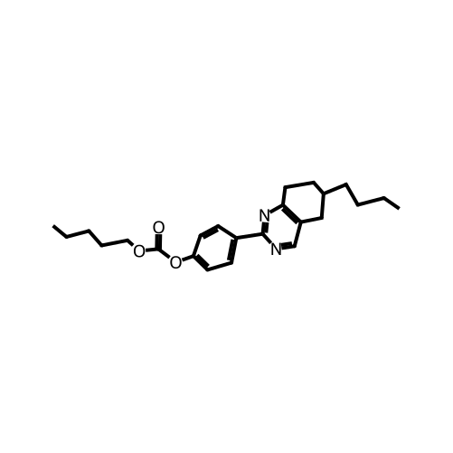 CCCCCOC(=O)Oc1ccc(-c2ncc3c(n2)CCC(CCCC)C3)cc1